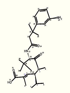 C/C(=C\[C@H](C(C)C)N(C)C(=O)[C@@H](NC(=O)CC(C)(C)c1cccc(N)c1)C(C)(C)C)C(=O)O